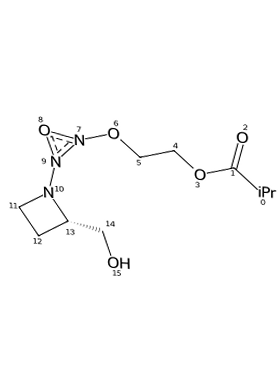 CC(C)C(=O)OCCOn1on1N1CC[C@H]1CO